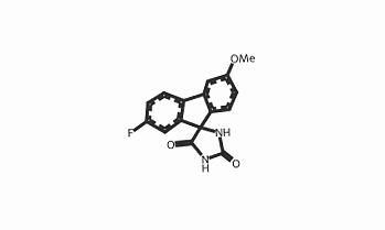 COc1ccc2c(c1)-c1ccc(F)cc1C21NC(=O)NC1=O